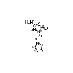 Nc1nn(CCn2ccnc2)c(=O)s1